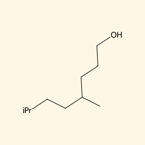 CC(C)CCC(C)CCCO